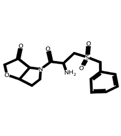 NC(CS(=O)(=O)Cc1ccccc1)C(=O)N1CCC2OCC(=O)C21